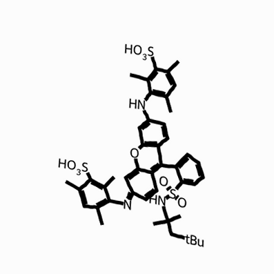 Cc1cc(C)c(S(=O)(=O)O)c(C)c1/N=c1/ccc2c(-c3ccccc3S(=O)(=O)NC(C)(C)CC(C)(C)C)c3ccc(Nc4c(C)cc(C)c(S(=O)(=O)O)c4C)cc3oc-2c1